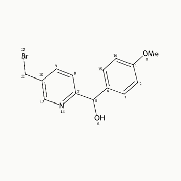 COc1ccc(C(O)c2ccc(CBr)cn2)cc1